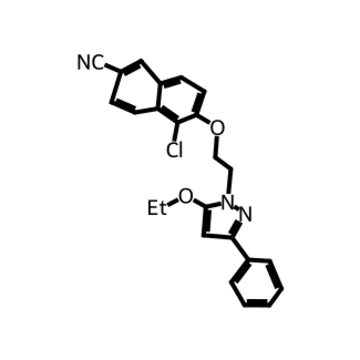 CCOc1cc(-c2ccccc2)nn1CCOc1ccc2cc(C#N)ccc2c1Cl